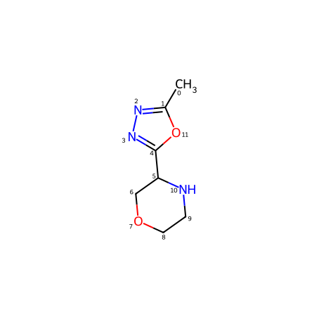 Cc1nnc(C2COCCN2)o1